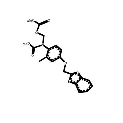 COC(=O)OCN(C(=O)OC)c1ccc(OCc2nc3ccccc3s2)cc1C